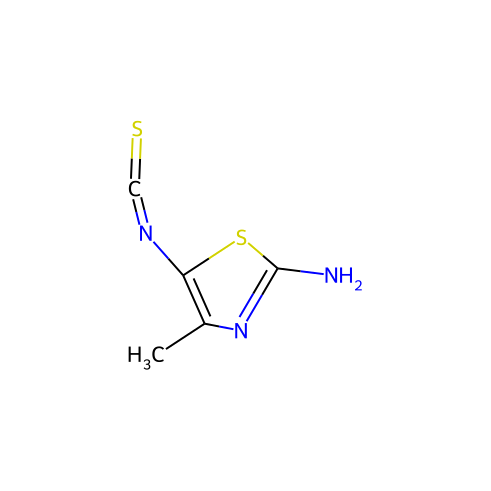 Cc1nc(N)sc1N=C=S